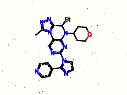 CC[C@@H]1c2nnc(C)n2-c2cnc(-n3ccnc3-c3ccncc3)nc2N1C1CCOCC1